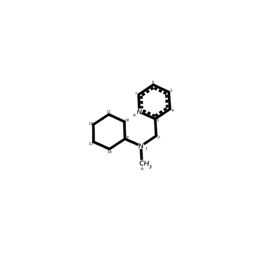 CN(Cc1ccccn1)C1CCCCC1